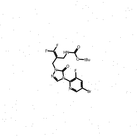 CC(C)(C)OC(=O)NCC(Cn1ncn(-c2ncc(Br)cc2F)c1=O)=C(F)F